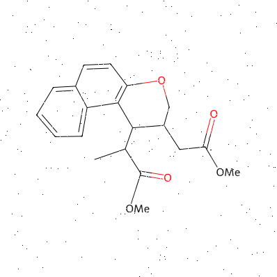 COC(=O)CC1COc2ccc3ccccc3c2C1C(C)C(=O)OC